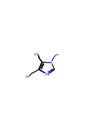 Cc1c(CC(C)C)ncn1C(C)C